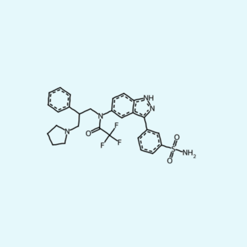 NS(=O)(=O)c1cccc(-c2n[nH]c3ccc(N(CC(CN4CCCC4)c4ccccc4)C(=O)C(F)(F)F)cc23)c1